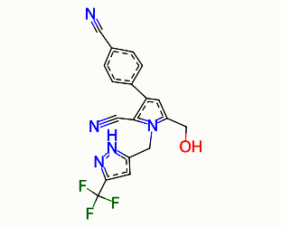 N#Cc1ccc(-c2cc(CO)n(Cc3cc(C(F)(F)F)n[nH]3)c2C#N)cc1